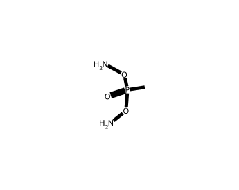 CP(=O)(ON)ON